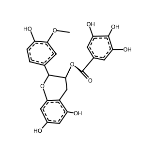 COc1cc(C2Oc3cc(O)cc(O)c3CC2OC(=O)c2cc(O)c(O)c(O)c2)ccc1O